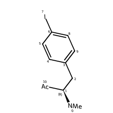 CN[C@H](Cc1ccc(I)cc1)C(C)=O